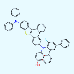 Oc1ccc(N(c2ccc3c(c2)c2ccccc2c2c4ccc(N(c5ccccc5)c5ccccc5)cc4sc32)c2c(F)cc(-c3ccccc3)cc2-c2ccccc2)cc1